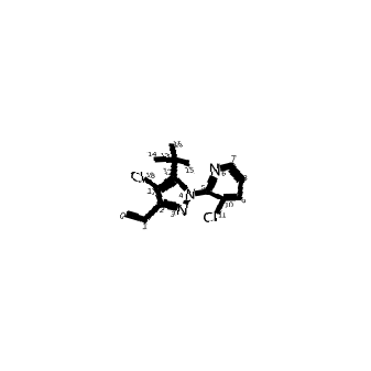 CCc1nn(-c2ncccc2Cl)c(C(C)(C)C)c1Cl